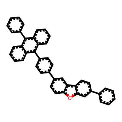 c1ccc(-c2ccc3c(c2)oc2ccc(-c4ccc(-c5c6ccccc6c(-c6ccccc6)c6ccccc56)cc4)cc23)cc1